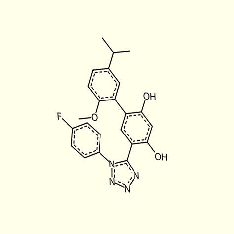 COc1ccc(C(C)C)cc1-c1cc(-c2nnnn2-c2ccc(F)cc2)c(O)cc1O